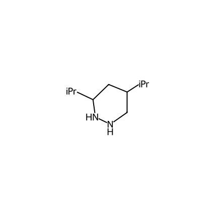 CC(C)C1CNNC(C(C)C)C1